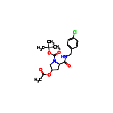 CC(=O)OC1CC(C(=O)NCc2ccc(Cl)cc2)N(C(=O)OC(C)(C)C)C1